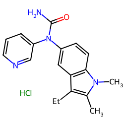 CCc1c(C)n(C)c2ccc(N(C(N)=O)c3cccnc3)cc12.Cl